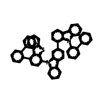 c1ccc(-c2ccccc2-c2ccc(-n3c4ccccc4c4ccc(-c5cccc6c7ccccc7n(-c7ccccc7-c7ccccc7)c56)cc43)c3sc4ccccc4c23)cc1